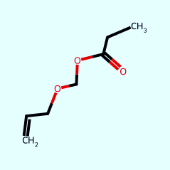 C=CCOCOC(=O)CC